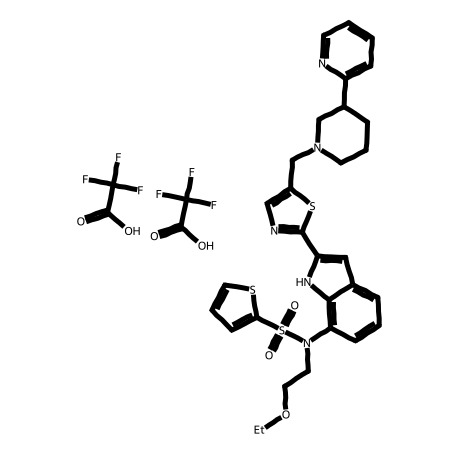 CCOCCN(c1cccc2cc(-c3ncc(CN4CCCC(c5ccccn5)C4)s3)[nH]c12)S(=O)(=O)c1cccs1.O=C(O)C(F)(F)F.O=C(O)C(F)(F)F